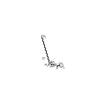 C=C(C)C(=O)OCCC(O)[N+](C)(C)CCCCCCCCCCCCCCCCCC.[Cl-]